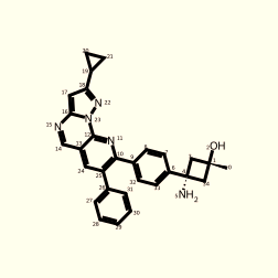 C[C@]1(O)C[C@](N)(c2ccc(-c3nc4c(cnc5cc(C6CC6)nn54)cc3-c3ccccc3)cc2)C1